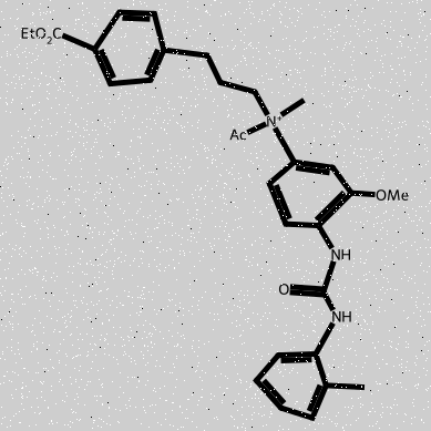 CCOC(=O)c1ccc(CCC[N+](C)(C(C)=O)c2ccc(NC(=O)Nc3ccccc3C)c(OC)c2)cc1